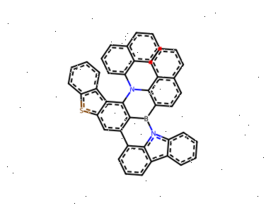 c1ccc2c(N3c4c(ccc5ccccc45)B4c5c(cc6sc7ccccc7c6c53)-c3cccc5c6ccccc6n4c35)cccc2c1